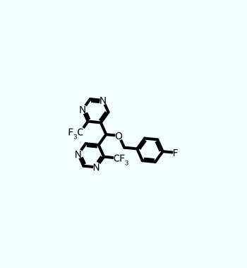 Fc1ccc(COC(c2cncnc2C(F)(F)F)c2cncnc2C(F)(F)F)cc1